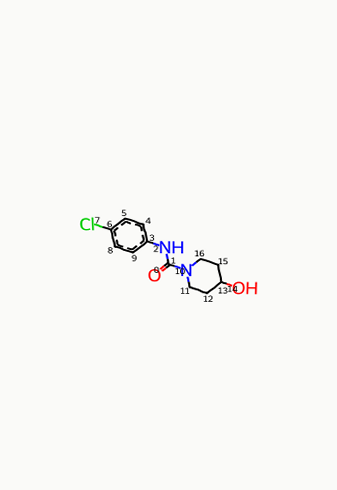 O=C(Nc1ccc(Cl)cc1)N1CCC(O)CC1